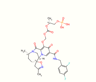 CC1=NO[C@@]2(CC[C@H](C)N3C[C@H]2n2cc(C(=O)NCc4ccc(F)cc4F)c(=O)c(OCOC(=O)O[C@H](C)COP(=O)(O)O)c2C3=O)C1